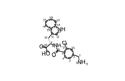 NCc1ccc(C(=O)N[C@@H](Cc2c[nH]c3ccccc23)C(=O)O)c(Cl)c1